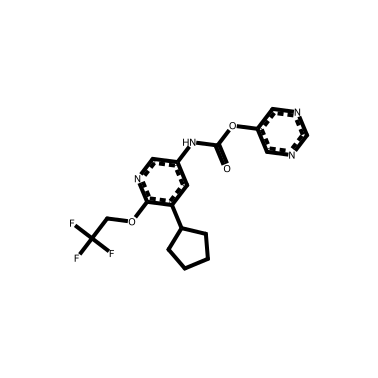 O=C(Nc1cnc(OCC(F)(F)F)c(C2CCCC2)c1)Oc1cncnc1